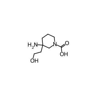 NC1(CCO)CCCN(C(=O)O)C1